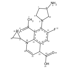 C=C(C)c1c(N2CCC(N)C2)c(F)cc2c1N(C1CC1)C=CC2C(=O)O